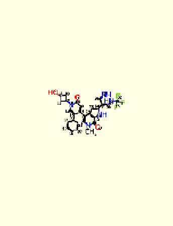 Cn1cc(-c2cc(=O)n(C3CC(O)C3)cc2-c2ccccc2)c2cc(/C(C=N)=C/NC(F)(F)F)[nH]c2c1=O